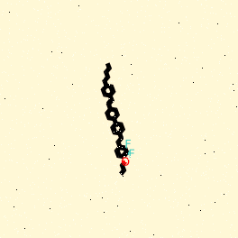 CCCCCC1C=CC(/C=C/C2CCC(c3ccc(CCc4ccc(OCCC)c(F)c4F)cc3)CC2)CC1